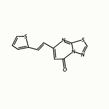 O=c1cc(/C=C/c2cccs2)nc2scnn12